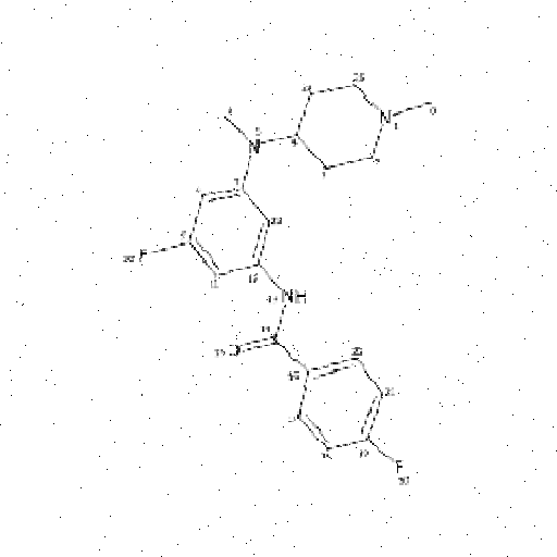 CN1CCC(N(C)c2cc(F)cc(NC(=O)c3ccc(F)cc3)c2)CC1